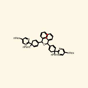 CCCCCCc1cnc(C2(CCCCC)C=CC(C(OC(C3=CCC(CCCCC)(c4ncc(CCCCCC)cn4)C=C3)c3ccccc3)c3ccccc3)=CC2)nc1